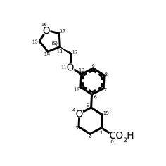 O=C(O)C1CCOC(c2cccc(OC[C@H]3CCOC3)c2)C1